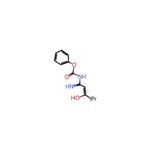 CC(C)/C(O)=C/C(=N)NC(=O)Oc1ccccc1